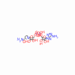 NC(=O)C1=CC=CN([C@@H]2O[C@H](COP(=O)(O)OP(=O)(O)OC[C@H]3O[C@@H](n4cnc5c(N)ncnc54)[C@H](O)[C@@H]3O)[C@@H](O)[C@H]2O)C1